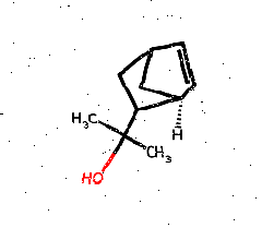 CC(C)(O)C1CC2C=C[C@@H]1C2